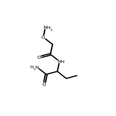 CCC(NC(=O)CON)C(N)=O